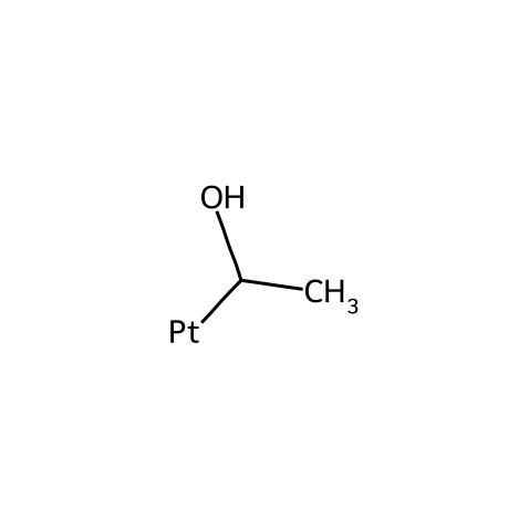 C[CH](O)[Pt]